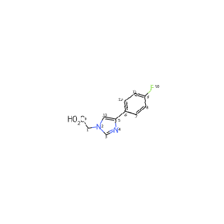 O=C(O)Cn1cnc(-c2ccc(F)cc2)c1